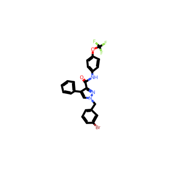 O=C(Nc1ccc(OC(F)(F)F)cc1)c1nn(Cc2cccc(Br)c2)cc1-c1ccccc1